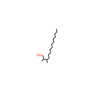 CCCCCCCCCCCCC(C)C(C)CO